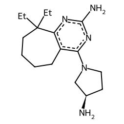 CCC1(CC)CCCCc2c(N3CC[C@@H](N)C3)nc(N)nc21